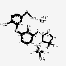 Cc1ccc(CN)nc1Oc1cccc(C[C@@H]2NCC(F)(F)[C@@H]2NS(C)(=O)=O)c1F.Cl.Cl